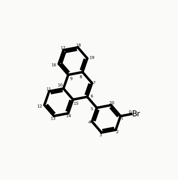 Brc1cccc(-c2cc3c(c4ccccc24)=C=C=CC=3)c1